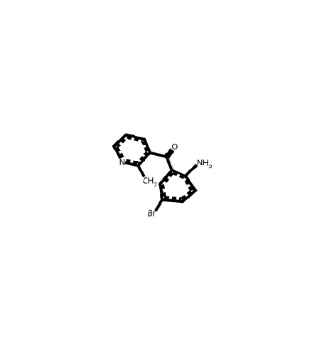 Cc1ncccc1C(=O)c1cc(Br)ccc1N